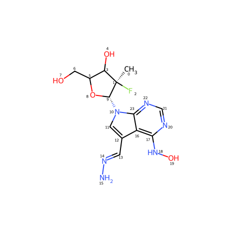 C[C@@]1(F)C(O)C(CO)O[C@H]1n1cc(/C=N/N)c2c(NO)ncnc21